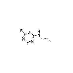 CCCNc1n[c]nc(F)n1